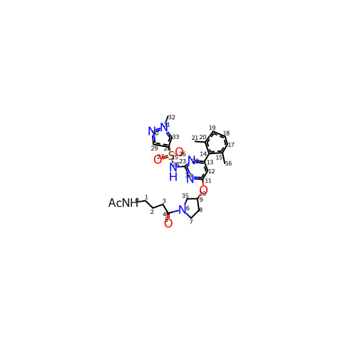 CC(=O)NCCCC(=O)N1CCC(Oc2cc(-c3c(C)cccc3C)nc(NS(=O)(=O)c3cnn(C)c3)n2)C1